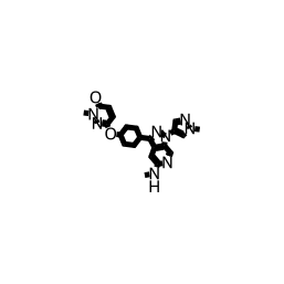 CNc1cc2c(C3CCC(Oc4ccc(=O)n(C)n4)CC3)nn(-c3cnn(C)c3)c2cn1